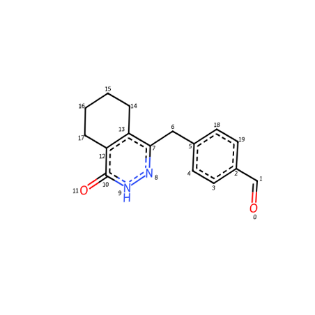 O=Cc1ccc(Cc2n[nH]c(=O)c3c2CCCC3)cc1